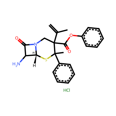 C=C(C)C1(C(=O)Oc2ccccc2)CN2C(=O)C(N)[C@H]2SC1(C)c1ccccc1.Cl